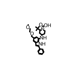 COCCOCc1cc(NC2CCN(C(=O)O)C(C(C)(C)C)C2)c2[nH]c(-c3ccccc3)cc2c1